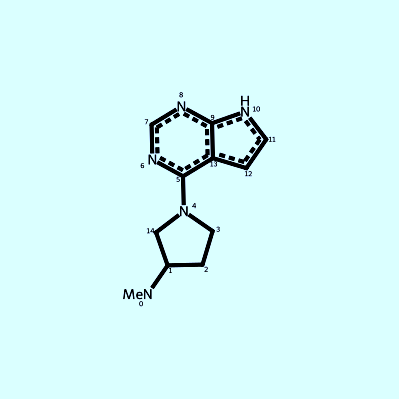 CNC1CCN(c2ncnc3[nH]ccc23)C1